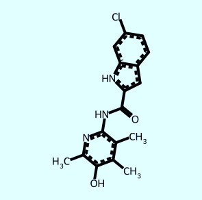 Cc1nc(NC(=O)c2cc3ccc(Cl)cc3[nH]2)c(C)c(C)c1O